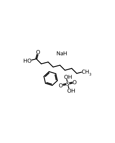 CCCCCCCCC(=O)O.O=S(=O)(O)O.[NaH].c1ccccc1